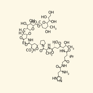 CCC(=O)[C@@H](NC(=O)[C@H](CC(=O)O)CC(=O)[C@@H]1CCCN1C(=O)[C@H](C)NC(=O)[C@H](CO)CC(=O)[C@@H](NC(=O)[C@@H](CC(=O)CNC(=O)[C@@H](N)Cc1cnc[nH]1)C(C)C)C(C)O)C(C)O[C@H]1OC(CO[C@]2(C(=O)O)C[C@@H](O)[C@@H](C)C([C@H](O)[C@H](O)CO)O2)[C@H](O)[C@H](O)C1C